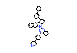 c1ccc(-c2cccc(-c3cccc4c3c3cc5ccccc5cc3n4-c3nc(-c4ccc(-c5ccncc5)cc4)c4ccccc4n3)c2)cc1